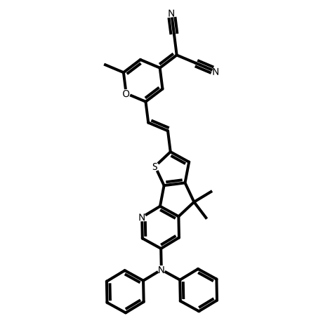 CC1=CC(=C(C#N)C#N)C=C(/C=C/c2cc3c(s2)-c2ncc(N(c4ccccc4)c4ccccc4)cc2C3(C)C)O1